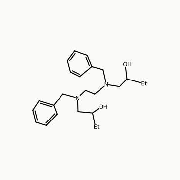 CCC(O)CN(CCN(Cc1ccccc1)CC(O)CC)Cc1ccccc1